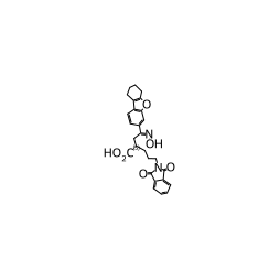 O=C(O)[C@@H](CCCN1C(=O)c2ccccc2C1=O)CC(=NO)c1ccc2c3c(oc2c1)CCCC3